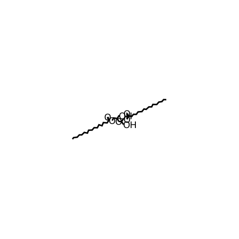 CCCCCCCCCCCCCCCC(=O)OCC(CO)OC(CO)COC(=O)CCCCCCCCCCCCCCC